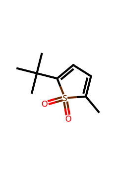 CC1=CC=C(C(C)(C)C)S1(=O)=O